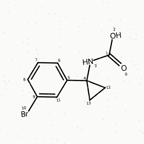 O=C(O)NC1(c2cccc(Br)c2)CC1